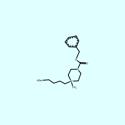 CCCCCCCCCCCCCC[N+]1(C)CCN(C(=O)OCc2ccccc2)CC1